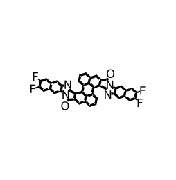 O=c1c2cc3cccc4c3c(c3cccc5cc6c(=O)n7c8cc9cc(F)c(F)cc9cc8nc7c6c4c53)c2c2nc3cc4cc(F)c(F)cc4cc3n12